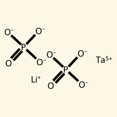 O=P([O-])([O-])[O-].O=P([O-])([O-])[O-].[Li+].[Ta+5]